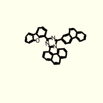 c1ccc2c(c1)ccc1cc(-c3nc(-c4cccc5c4oc4ccccc45)nc(-c4cccc5ccc6ccccc6c45)n3)ccc12